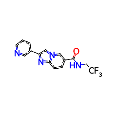 O=C(NCC(F)(F)F)c1ccc2nc(-c3cccnc3)cn2c1